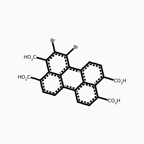 O=C(O)c1ccc2c3ccc(C(=O)O)c4c(C(=O)O)c(Br)c(Br)c(c5ccc(C(=O)O)c1c25)c43